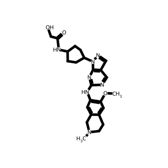 COc1cc2c(cc1Nc1ncc3cnn(C4CCC(NC(=O)CO)CC4)c3n1)CN(C)CC2